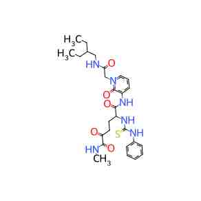 CCC(CC)CNC(=O)Cn1cccc(NC(=O)C(CCC(=O)C(=O)NC)NC(=S)Nc2ccccc2)c1=O